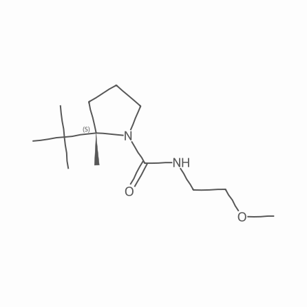 COCCNC(=O)N1CCC[C@@]1(C)C(C)(C)C